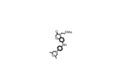 COCCN1C(=O)COc2cc(Nc3ccc(N4CC(C)OC(C)C4)cc3)ccc21